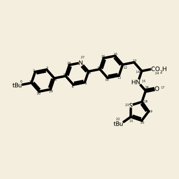 CC(C)(C)c1ccc(-c2ccc(-c3ccc(CC(NC(=O)c4ccc(C(C)(C)C)s4)C(=O)O)cc3)nc2)cc1